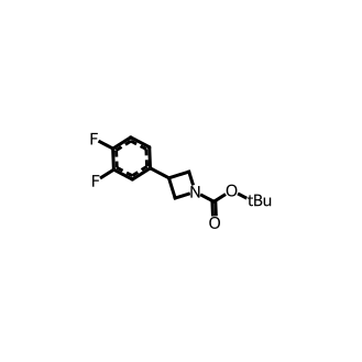 CC(C)(C)OC(=O)N1CC(c2ccc(F)c(F)c2)C1